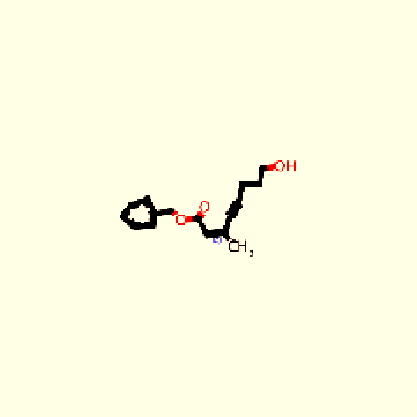 C/C(C#CCCCO)=C/C(=O)OCc1ccccc1